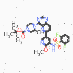 COc1ncc(-c2ccc3ncnc(N4CCN(C(=O)OC(C)(C)C)C[C@@H]4C)c3n2)cc1NS(=O)(=O)c1c(F)cccc1F